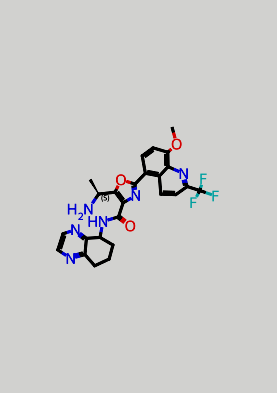 COc1ccc(-c2nc(C(=O)NC3CCCc4nccnc43)c([C@H](C)N)o2)c2ccc(C(F)(F)F)nc12